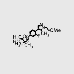 COCCn1ncc(-c2ccc(B3OC(C)(C)C(C)(C)O3)cc2F)c1C